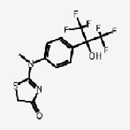 CN(C1=NC(=O)CS1)c1ccc(C(O)(C(F)(F)F)C(F)(F)F)cc1